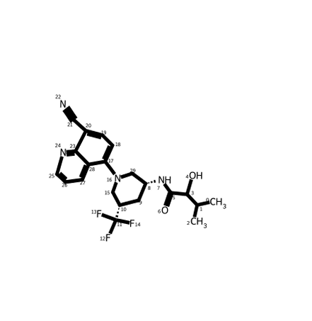 CC(C)C(O)C(=O)N[C@@H]1C[C@H](C(F)(F)F)CN(c2ccc(C#N)c3ncccc23)C1